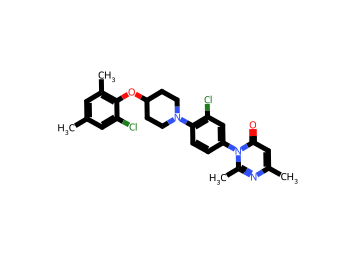 Cc1cc(C)c(OC2CCN(c3ccc(-n4c(C)nc(C)cc4=O)cc3Cl)CC2)c(Cl)c1